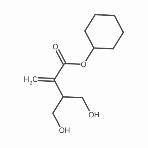 C=C(C(=O)OC1CCCCC1)C(CO)CO